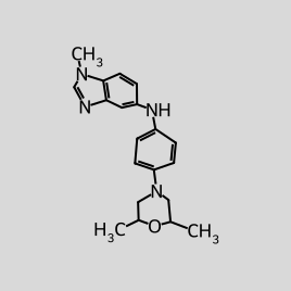 CC1CN(c2ccc(Nc3ccc4c(c3)ncn4C)cc2)CC(C)O1